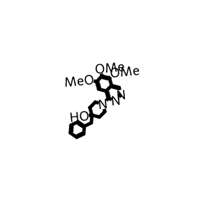 COc1cc2c(N3CCC(O)(Cc4ccccc4)CC3)nncc2c(OC)c1OC